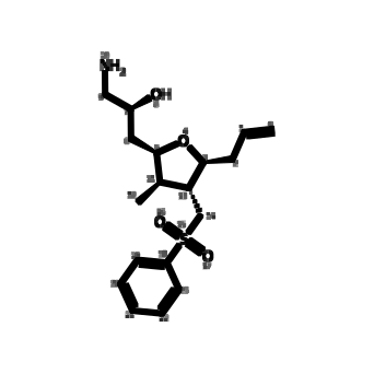 C=CC[C@@H]1O[C@H](C[C@H](O)CN)[C@H](C)[C@H]1CS(=O)(=O)c1ccccc1